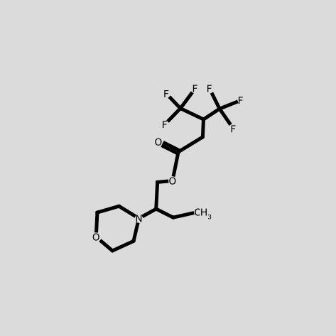 CCC(COC(=O)CC(C(F)(F)F)C(F)(F)F)N1CCOCC1